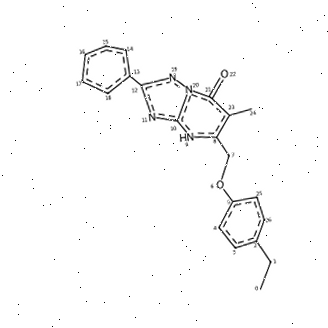 CCc1ccc(OCc2[nH]c3nc(-c4ccccc4)nn3c(=O)c2C)cc1